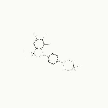 CC1(C)CCN(c2ccc(N3CC(C)(C)c4cc(F)c(O)c(F)c43)cc2)CC1